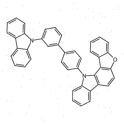 c1cc(-c2ccc(-n3c4ccccc4c4ccc5oc6ccccc6c5c43)cc2)cc(-n2c3ccccc3c3ccccc32)c1